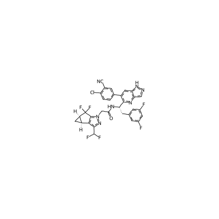 N#Cc1cc(-c2cc3[nH]ncc3nc2[C@H](Cc2cc(F)cc(F)c2)NC(=O)Cn2nc(C(F)F)c3c2C(F)(F)[C@@H]2C[C@H]32)ccc1Cl